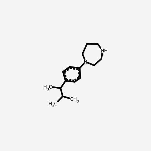 CC(C)C(C)c1ccc(N2CCCNCC2)cc1